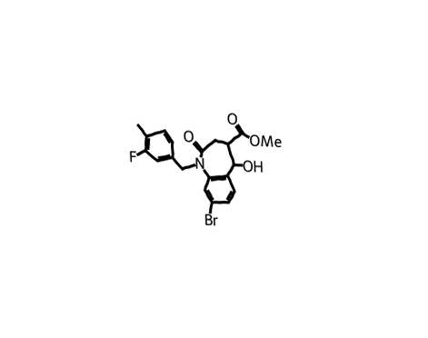 COC(=O)C1CC(=O)N(Cc2ccc(C)c(F)c2)c2cc(Br)ccc2C1O